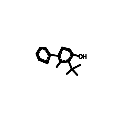 Cc1c(-c2ccccc2)ccc(O)c1C(C)(C)C